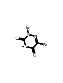 CC(=O)n1nc(Br)c(=O)[nH]c1=O